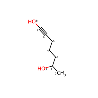 CC(O)CCCC#CO